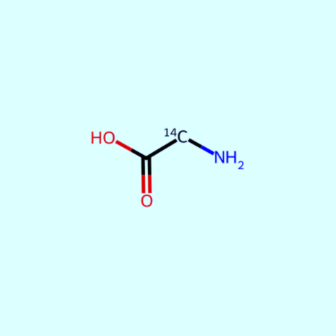 N[14CH2]C(=O)O